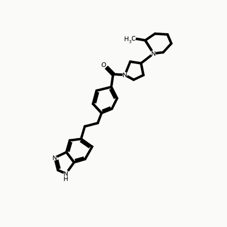 CC1CCCCN1C1CCN(C(=O)c2ccc(CCc3ccc4[nH]cnc4c3)cc2)C1